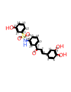 O=C(C=Cc1ccc(O)c(O)c1)c1cccc(NS(=O)(=O)c2cccc(O)c2)c1